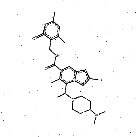 Cc1cc(C)c(CNC(=O)c2cc3cc(Cl)cn3c(C(C)N3CCC(N(C)C)CC3)c2C)c(=O)[nH]1